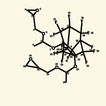 CC(OCC1CO1)OC12C(F)(F)C3(F)C(F)(F)C(F)(C1(F)F)C(F)(F)C(OC(C)OCC1CO1)(C3(F)F)C2(F)F